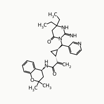 C=C(C(=O)N[C@H]1CC(C)(C)Oc2ccccc21)[C@@H]1C[C@H]1C(c1cccnc1)N1C(=N)NC(CC)(CC)CC1=O